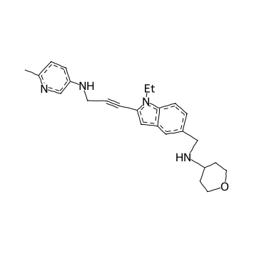 CCn1c(C#CCNc2ccc(C)nc2)cc2cc(CNC3CCOCC3)ccc21